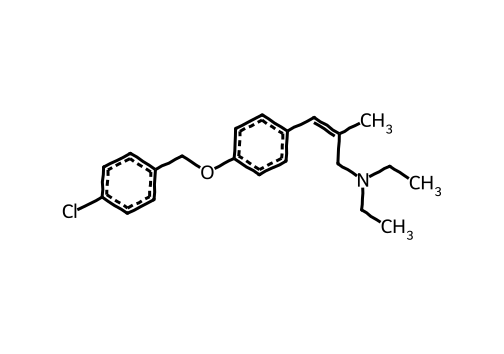 CCN(CC)CC(C)=Cc1ccc(OCc2ccc(Cl)cc2)cc1